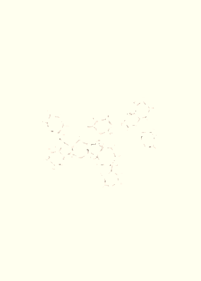 c1ccc(-c2cc(-c3cccc(-n4c5cc6c(cc5c5c7sc8ccccc8c7ccc54)c4ccccc4n6-c4ccccc4)c3)nc3ccccc23)cc1